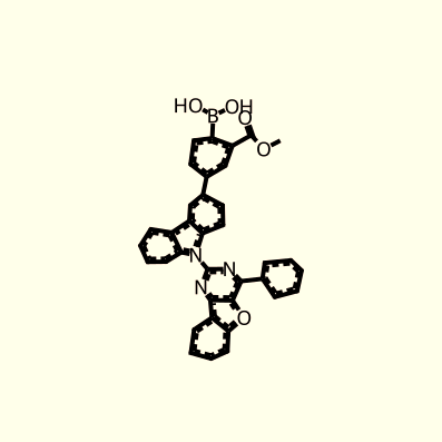 COC(=O)c1cc(-c2ccc3c(c2)c2ccccc2n3-c2nc(-c3ccccc3)c3oc4ccccc4c3n2)ccc1B(O)O